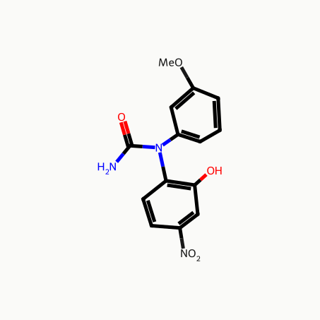 COc1cccc(N(C(N)=O)c2ccc([N+](=O)[O-])cc2O)c1